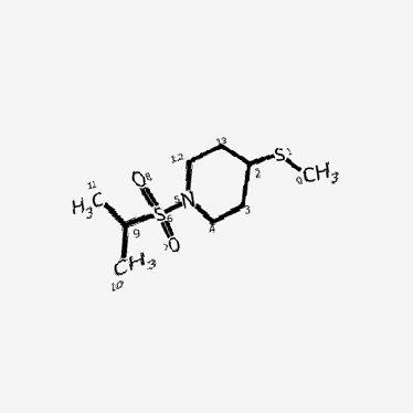 CSC1CCN(S(=O)(=O)C(C)C)CC1